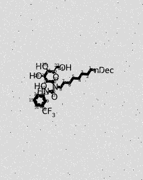 CCCCCCCCCCCCCCCCCCN(C(=O)Nc1cccc(C(F)(F)F)c1)C1O[C@H](CO)[C@@H](O)[C@H](O)[C@H]1O